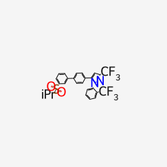 CC(C)S(=O)(=O)c1cccc(-c2ccc(-c3cc(C(F)(F)F)nn3-c3ccccc3C(F)(F)F)cc2)c1